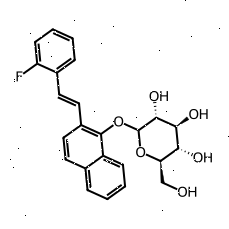 OC[C@H]1OC(Oc2c(/C=C/c3ccccc3F)ccc3ccccc23)[C@H](O)[C@@H](O)[C@@H]1O